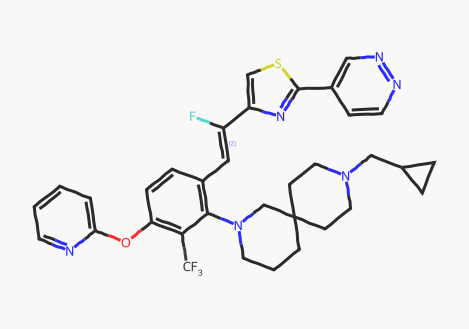 F/C(=C\c1ccc(Oc2ccccn2)c(C(F)(F)F)c1N1CCCC2(CCN(CC3CC3)CC2)C1)c1csc(-c2ccnnc2)n1